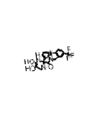 O=C(NCc1cc(C(F)(F)F)ccc1F)C1(c2cccs2)N=CC(O)=C(O)N1